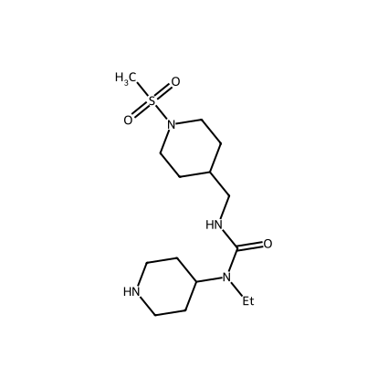 CCN(C(=O)NCC1CCN(S(C)(=O)=O)CC1)C1CCNCC1